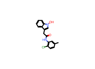 Cc1ccc(Cl)c(NC(=O)Cc2cn(O)c3ccccc23)c1